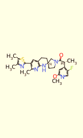 COc1cc([C@@H](C)C(=O)N2CC[C@@]3(CCc4cc(-c5nc(C)c(C)s5)c(C)nc4N3)C2)c(F)cn1